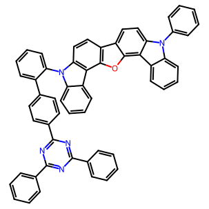 c1ccc(-c2nc(-c3ccccc3)nc(-c3ccc(-c4ccccc4-n4c5ccccc5c5c6oc7c(ccc8c7c7ccccc7n8-c7ccccc7)c6ccc54)cc3)n2)cc1